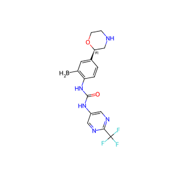 Bc1cc([C@@H]2CNCCO2)ccc1NC(=O)Nc1cnc(C(F)(F)F)nc1